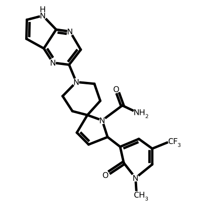 Cn1cc(C(F)(F)F)cc(C2C=CC3(CCN(c4cnc5[nH]ccc5n4)CC3)N2C(N)=O)c1=O